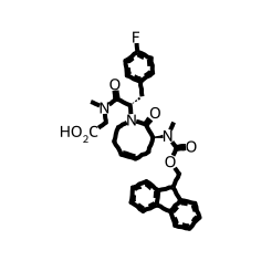 CN(CC(=O)O)C(=O)[C@H](Cc1ccc(F)cc1)N1CCC=CC[C@H](N(C)C(=O)OCC2c3ccccc3-c3ccccc32)C1=O